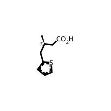 C[C@@H](CC(=O)O)Cc1cccs1